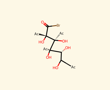 CC(=O)C(O)[C@@H](O)[C@](O)(C(C)=O)[C@@](O)(C(C)=O)[C@@](O)(C(C)=O)C(=O)Br